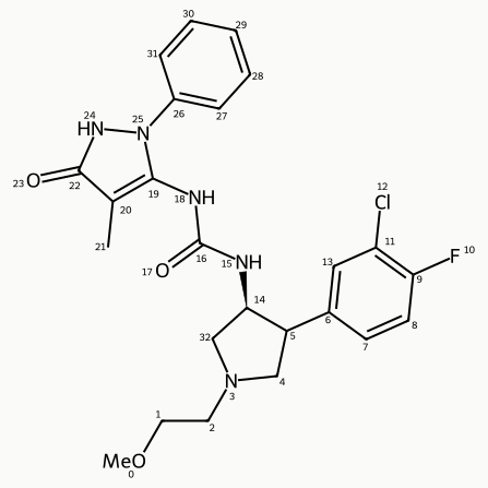 COCCN1CC(c2ccc(F)c(Cl)c2)[C@H](NC(=O)Nc2c(C)c(=O)[nH]n2-c2ccccc2)C1